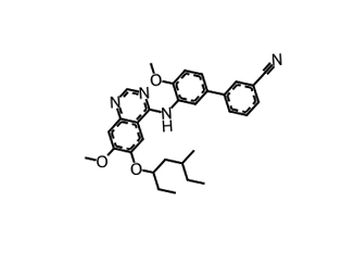 CCC(C)CC(CC)Oc1cc2c(Nc3cc(-c4cccc(C#N)c4)ccc3OC)ncnc2cc1OC